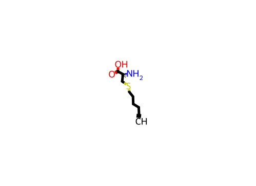 C#CCCCCSC[C@H](N)C(=O)O